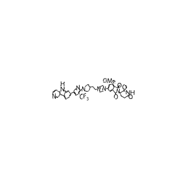 COc1cc(N2CCN(CCC3CCN(c4ncc(-c5ccc6c(c5)[nH]c5ccncc56)cc4C(F)(F)F)CC3)CC2)cc2c1C(=O)N(C1CCC(=O)NC1=O)C2=O